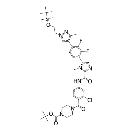 Cc1nn(CCO[Si](C)(C)C(C)(C)C)cc1-c1ccc(-c2cnc(C(=O)Nc3ccc(C(=O)N4CCN(C(=O)OC(C)(C)C)CC4)c(Cl)c3)n2C)c(F)c1F